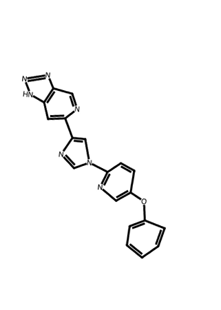 c1ccc(Oc2ccc(-n3cnc(-c4cc5[nH]nnc5cn4)c3)nc2)cc1